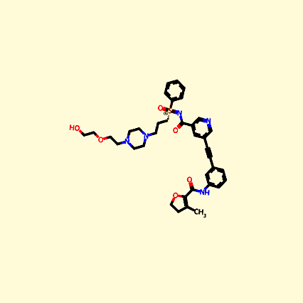 CC1=C(C(=O)Nc2cccc(C#Cc3cncc(C(=O)N=[S@](=O)(CCCN4CCN(CCOCCO)CC4)c4ccccc4)c3)c2)OCC1